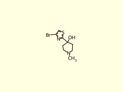 CN1CCC(O)(c2nc(Br)cs2)CC1